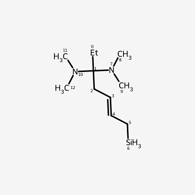 CCC(C/C=C/C[SiH3])(N(C)C)N(C)C